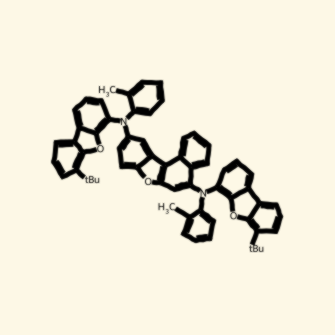 Cc1ccccc1N(c1ccc2oc3cc(N(c4ccccc4C)c4cccc5c4oc4c(C(C)(C)C)cccc45)c4ccccc4c3c2c1)c1cccc2c1oc1c(C(C)(C)C)cccc12